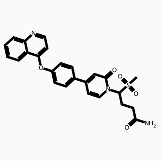 CS(=O)(=O)C(CCC(N)=O)n1ccc(-c2ccc(Oc3ccnc4ccccc34)cc2)cc1=O